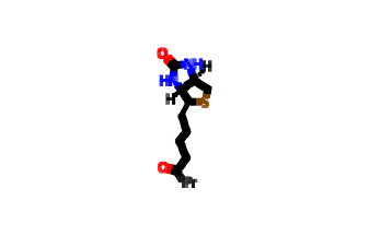 CC(C)C(=O)CCCC[C@@H]1SC[C@@H]2NC(=O)N[C@@H]21